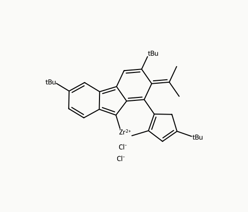 CC1=C(c2c3c(cc(C(C)(C)C)c2=C(C)C)=c2cc(C(C)(C)C)ccc2=[C]3[Zr+2])CC(C(C)(C)C)=C1.[Cl-].[Cl-]